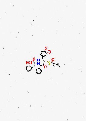 CC(=O)SC[C@@H](Cc1ccc2c(c1)OCO2)C(=O)C(NC(Cc1ccccc1)C(=O)O)c1ccccc1